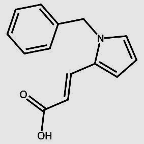 O=C(O)C=Cc1cccn1Cc1ccccc1